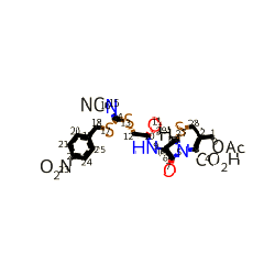 CC(=O)OCC1=C(C(=O)O)N2C(=O)[C@@H](NC(=O)CSC(=NC#N)SCc3ccc([N+](=O)[O-])cc3)[C@H]2SC1